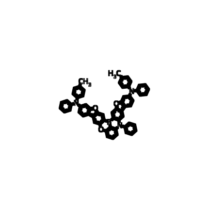 Cc1ccc(N(c2ccccc2)c2ccc3c(c2)oc2cc4c(cc23)Oc2cccc3c2B4c2cc4oc5cc(N(c6ccccc6)c6ccc(C)cc6)ccc5c4cc2N3c2ccccc2)cc1